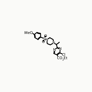 CCOC(=O)c1cnc(C(C)N2CCN(S(=O)(=O)c3ccc(OC)cc3)CC2)nc1Cl